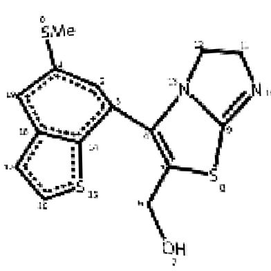 CSc1cc(C2=C(CO)SC3=NCCN32)c2sccc2c1